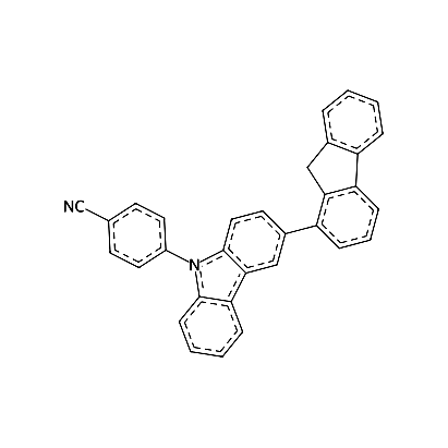 N#Cc1ccc(-n2c3ccccc3c3cc(-c4cccc5c4Cc4ccccc4-5)ccc32)cc1